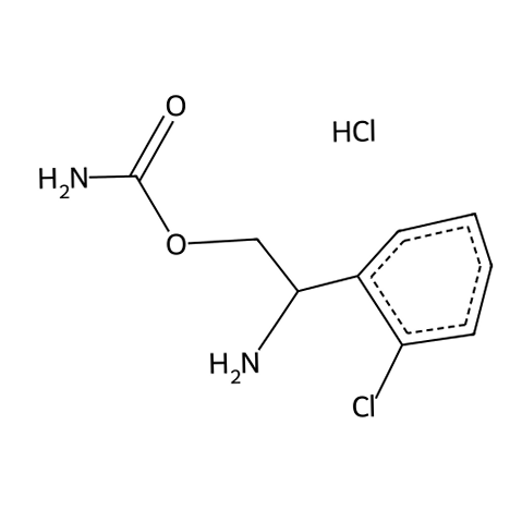 Cl.NC(=O)OCC(N)c1ccccc1Cl